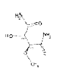 CO[C@H](C(N)=O)[C@H](O)C(N)=O